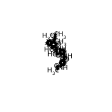 CC(=O)Nc1ccc(S(=O)(=O)Nc2ccc3c(c2)S(O)(O)N=C(C2=C(O)c4ccccc4C(C)(CCC(C)C)C2=O)N3)cc1